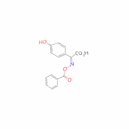 O=C(O)/C(=N/OC(=O)c1ccccc1)c1ccc(O)cc1